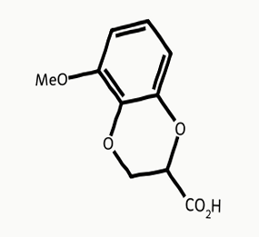 COc1cccc2c1OCC(C(=O)O)O2